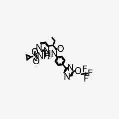 CCC(C(=O)Nc1ccc(-c2cncc(OCC(F)(F)F)n2)cc1)c1ccnc(NS(=O)(=O)C2CC2)n1